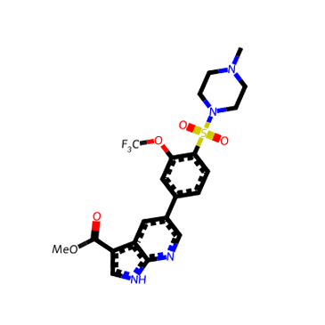 COC(=O)c1c[nH]c2ncc(-c3ccc(S(=O)(=O)N4CCN(C)CC4)c(OC(F)(F)F)c3)cc12